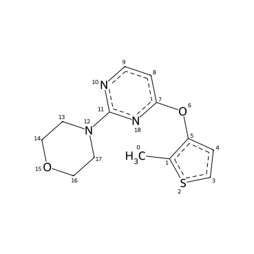 Cc1sccc1Oc1ccnc(N2CCOCC2)n1